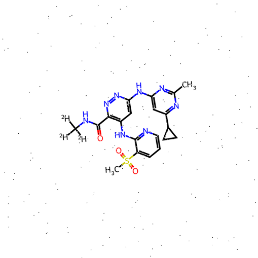 [2H]C([2H])([2H])NC(=O)c1nnc(Nc2cc(C3CC3)nc(C)n2)cc1Nc1ncccc1S(C)(=O)=O